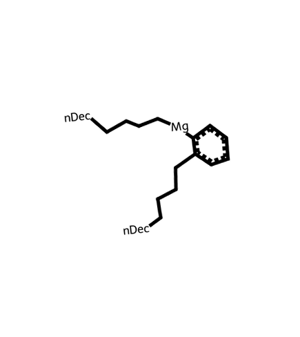 CCCCCCCCCCCCC[CH2][Mg][c]1ccccc1CCCCCCCCCCCCCC